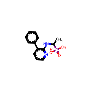 CC(Nc1ncccc1-c1ccccc1)P(=O)(O)O